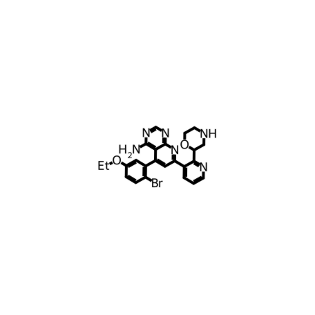 CCOc1ccc(Br)c(-c2cc(-c3cccnc3C3CNCCO3)nc3ncnc(N)c23)c1